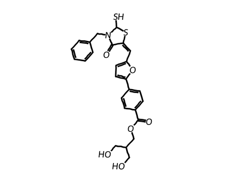 O=C(OCC(CO)CO)c1ccc(-c2ccc(/C=C3/SC(S)N(Cc4ccccc4)C3=O)o2)cc1